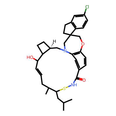 CC(C)CC1SNC(=O)c2ccc3c(c2)N(C[C@@H]2CCC2C(O)/C=C/CC1C)CC1(CCc2cc(Cl)ccc21)CO3